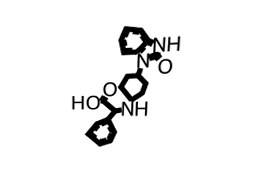 O=C(O)C(NC1CCC(n2c(=O)[nH]c3ccccc32)CC1)c1ccccc1